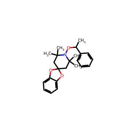 CC(ON1C(C)(C)CC2(CC1(C)C)Oc1ccccc1O2)c1ccccc1